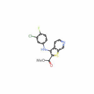 COC(=O)c1sc2cnccc2c1Nc1ccc(F)c(Cl)c1